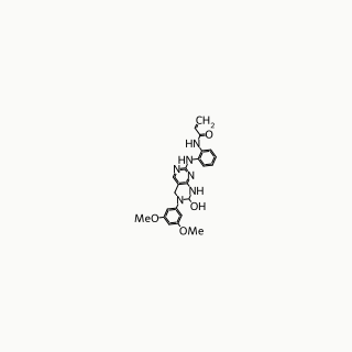 C=CC(=O)Nc1ccccc1Nc1ncc2c(n1)NC(O)N(c1cc(OC)cc(OC)c1)C2